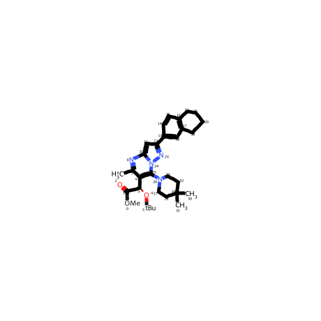 COC(=O)[C@@H](OC(C)(C)C)c1c(C)nc2cc(-c3ccc4c(c3)CCCC4)nn2c1N1CCC(C)(C)CC1